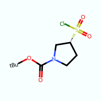 CC(C)(C)OC(=O)N1CC[C@@H](S(=O)(=O)Cl)C1